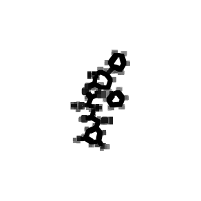 C[C@H](NC(=O)[C@H](O)c1cc(F)cc(F)c1)C(=O)N[C@@H]1C(=O)NC[C@@H](c2ccccc2)C[C@@H]1c1ccccc1